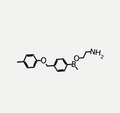 CB(OCCN)c1ccc(COc2ccc(C)cc2)cc1